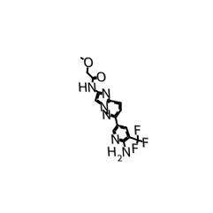 COCC(=O)Nc1cn2nc(-c3cnc(N)c(C(F)(F)F)c3)ccc2n1